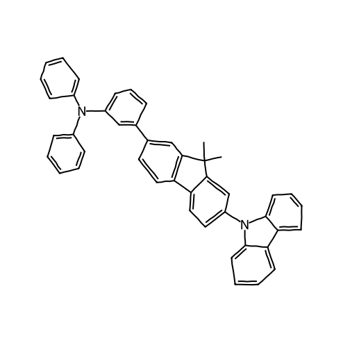 CC1(C)c2cc(-c3cccc(N(c4ccccc4)c4ccccc4)c3)ccc2-c2ccc(-n3c4ccccc4c4ccccc43)cc21